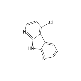 Clc1ccnc2[nH]c3ncccc3c12